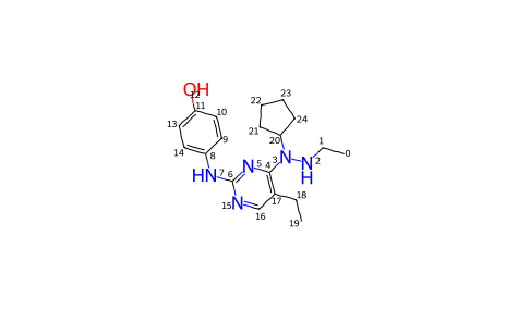 CCNN(c1nc(Nc2ccc(O)cc2)ncc1CC)C1CCCC1